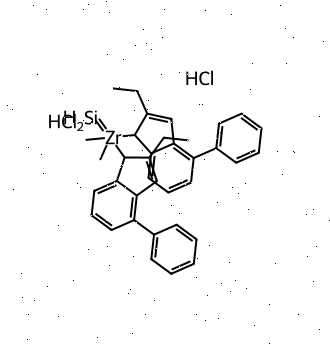 CCC1=Cc2c(-c3ccccc3)cccc2[CH]1[Zr]([CH3])([CH3])(=[SiH2])[CH]1C(CC)=Cc2c(-c3ccccc3)cccc21.Cl.Cl